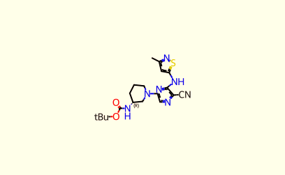 Cc1cc(Nc2nc(N3CCC[C@@H](NC(=O)OC(C)(C)C)C3)cnc2C#N)sn1